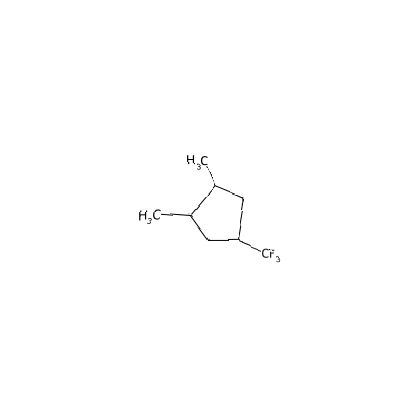 CC1CC(C(F)(F)F)CC1C